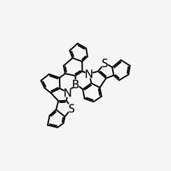 c1ccc2c3c4c(cc2c1)-c1cccc2c5c6ccccc6sc5n(c12)B4c1cccc2c4c5ccccc5sc4n-3c12